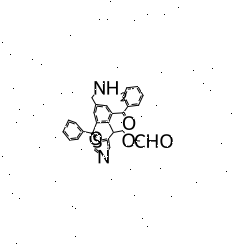 NCc1cc(C(=O)c2ccccc2)c(C(COC=O)c2cncs2)c(C(=O)c2ccccc2)c1